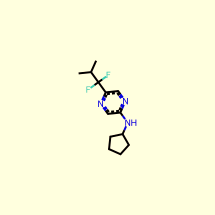 CC(C)C(F)(F)c1cnc(NC2CCCC2)cn1